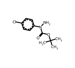 CC(C)(C)OC(=O)N(N)c1ccc(Cl)cc1